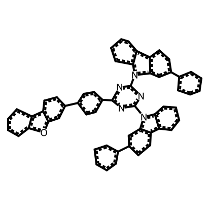 c1ccc(-c2ccc3c4ccccc4n(-c4nc(-c5ccc(-c6ccc7c(c6)oc6ccccc67)cc5)nc(-n5c6ccccc6c6ccc(-c7ccccc7)cc65)n4)c3c2)cc1